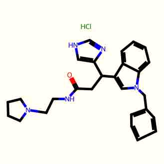 Cl.O=C(CC(c1c[nH]cn1)c1cn(Cc2ccccc2)c2ccccc12)NCCN1CCCC1